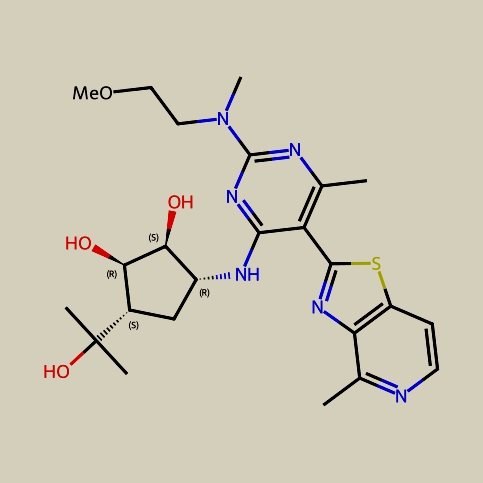 COCCN(C)c1nc(C)c(-c2nc3c(C)nccc3s2)c(N[C@@H]2C[C@H](C(C)(C)O)[C@@H](O)[C@H]2O)n1